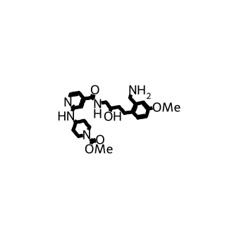 COC(=O)N1CCC(Nc2cc(C(=O)NCC(O)CCc3ccc(OC)cc3CN)ccn2)CC1